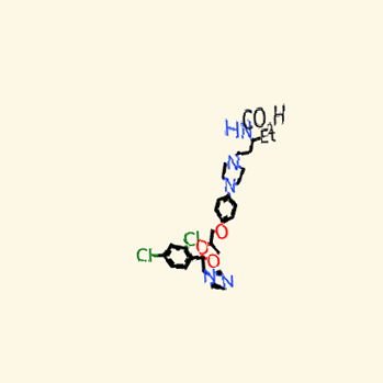 CCC(CCN1CCN(c2ccc(OCC3COC(Cn4ccnc4)(c4ccc(Cl)cc4Cl)O3)cc2)CC1)NC(=O)O